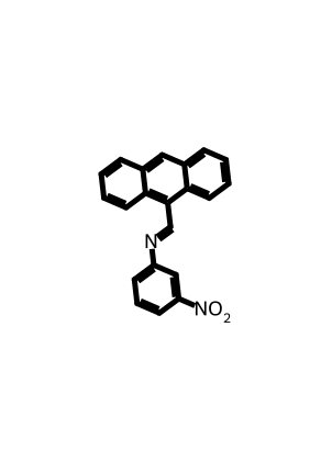 O=[N+]([O-])c1cccc(/N=C/c2c3ccccc3cc3ccccc23)c1